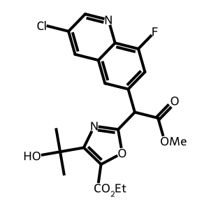 CCOC(=O)c1oc(C(C(=O)OC)c2cc(F)c3ncc(Cl)cc3c2)nc1C(C)(C)O